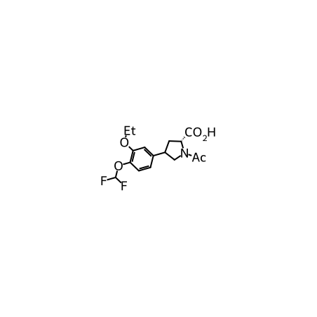 CCOc1cc(C2C[C@H](C(=O)O)N(C(C)=O)C2)ccc1OC(F)F